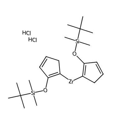 CC(C)(C)[Si](C)(C)OC1=[C]([Zr][C]2=C(O[Si](C)(C)C(C)(C)C)C=CC2)CC=C1.Cl.Cl